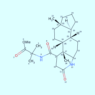 COC(=O)C(C)(C)NC(=O)C1CC(=O)NC2CC[C@@H]3[C@@H](CC[C@]4(C)CCC[C@@H]34)[C@]21C